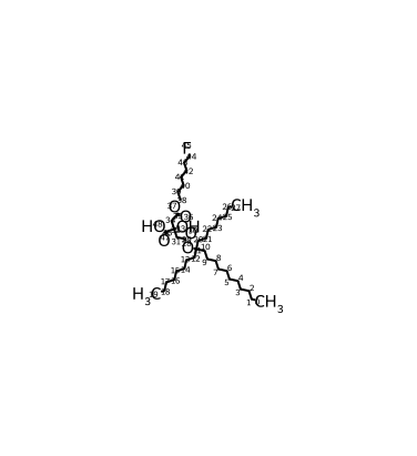 CCCCCCCCCCCC(CCCCCCCC)(CCCCCCCC)OC(=O)CC(O)(CC(=O)OCCCCCCCF)C(=O)O